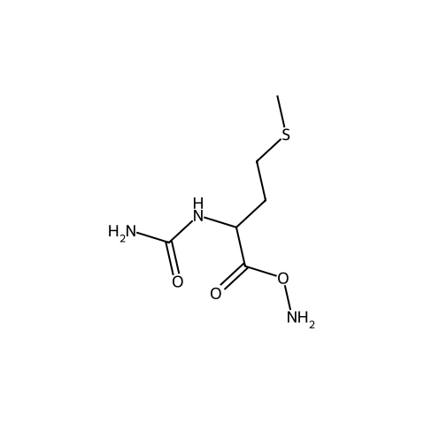 CSCCC(NC(N)=O)C(=O)ON